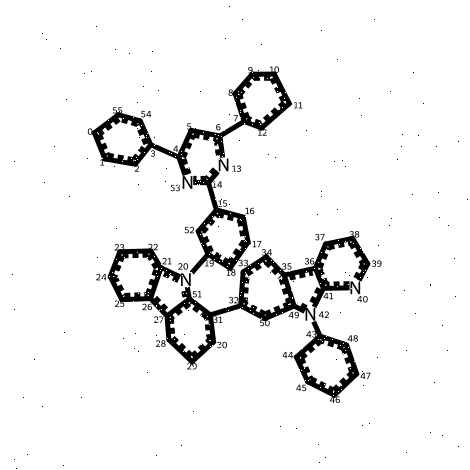 c1ccc(-c2cc(-c3ccccc3)nc(-c3cccc(-n4c5ccccc5c5cccc(-c6ccc7c8cccnc8n(-c8ccccc8)c7c6)c54)c3)n2)cc1